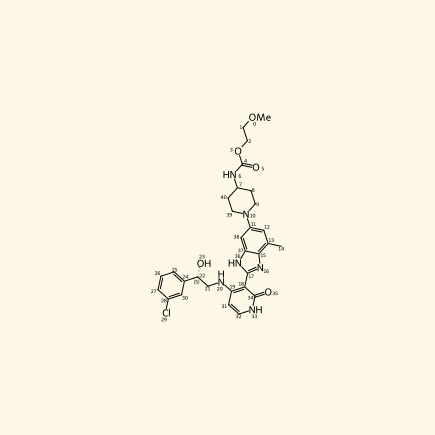 COCCOC(=O)NC1CCN(c2cc(C)c3nc(-c4c(NC[C@@H](O)c5cccc(Cl)c5)cc[nH]c4=O)[nH]c3c2)CC1